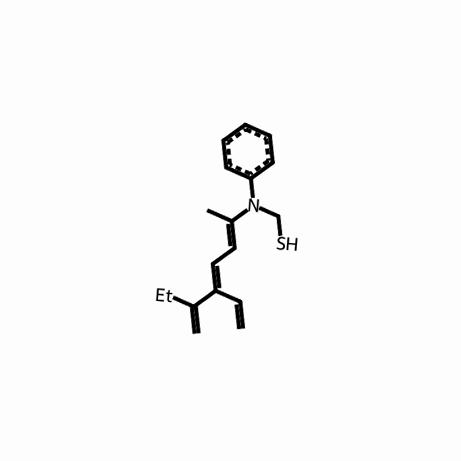 C=C/C(=C\C=C(/C)N(CS)c1ccccc1)C(=C)CC